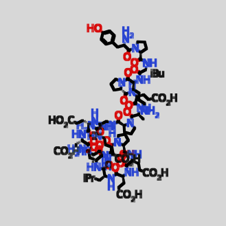 CC[C@H](C)[C@H](NC(=O)[C@@H]1CCCN1C(=O)[C@@H](N)Cc1ccc(O)cc1)C(=O)N[C@@H](CCCCN)C(=O)N1CCC[C@H]1C(=O)N[C@@H](CCC(=O)O)C(=O)N[C@@H](C)C(=O)N1CCC[C@H]1C(=O)NCC(=O)N[C@@H](CCC(=O)O)C(=O)N[C@@H](CC(=O)O)C(=O)N[C@@H](C)C(=O)N[C@@H](CO)C(=O)N1CCC[C@H]1C(=O)N[C@@H](CCC(=O)O)C(=O)N[C@@H](CCC(=O)O)C(=O)N[C@@H](CC(C)C)C(=O)N[C@@H](CC(N)=O)C(=O)N[C@@H](CCCNC(=N)N)C(=O)O